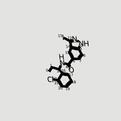 CCC(NC(=O)c1ccc2[nH]nc(I)c2c1)c1ccccc1Cl